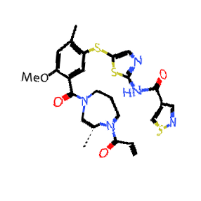 C=CC(=O)N1CCCN(C(=O)c2cc(Sc3cnc(NC(=O)c4cnsc4)s3)c(C)cc2OC)C[C@H]1C